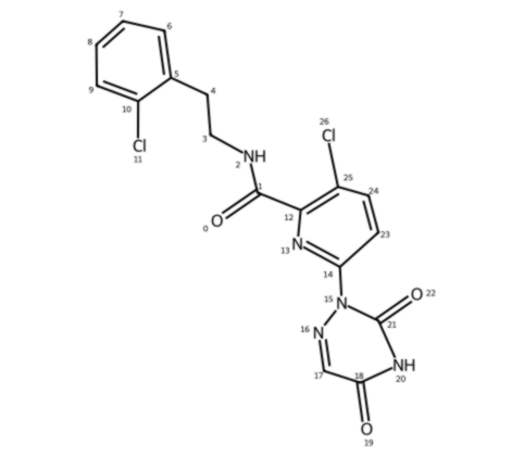 O=C(NCCc1ccccc1Cl)c1nc(-n2ncc(=O)[nH]c2=O)ccc1Cl